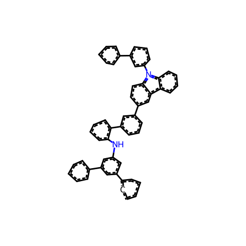 c1ccc(-c2cc(Nc3ccccc3-c3cccc(-c4ccc5c(c4)c4ccccc4n5-c4cccc(-c5ccccc5)c4)c3)cc(-c3ccccc3)c2)cc1